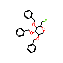 FCC1OCC(OCc2ccccc2)C(OCc2ccccc2)[C@@H]1OCc1ccccc1